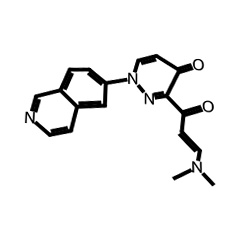 CN(C)/C=C/C(=O)c1nn(-c2ccc3cnccc3c2)ccc1=O